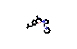 C/C(=C/C(=O)N1CCCC1CN1CCCCC1)c1ccc(CC(C)C)cc1